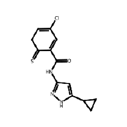 O=C(Nc1cc(C2CC2)[nH]n1)C1=CC(Cl)=CCC1=S